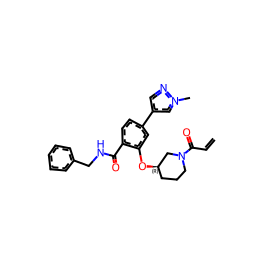 C=CC(=O)N1CCC[C@@H](Oc2cc(-c3cnn(C)c3)ccc2C(=O)NCc2ccccc2)C1